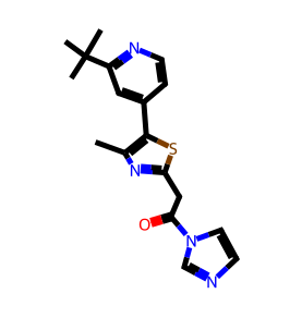 Cc1nc(CC(=O)n2ccnc2)sc1-c1ccnc(C(C)(C)C)c1